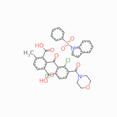 Cc1ccc(C(=O)O)c(C(=O)c2c(Cl)ccc(C(=O)N3CCOCC3)c2Cl)c1C(=O)O.O=S(=O)(c1ccccc1)n1ccc2ccccc21